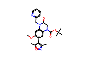 COc1cc2c(cc1-c1c(C)noc1C)N(C(=O)OC(C)(C)C)CC(=O)N2Cc1ccccn1